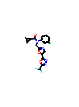 O=C(C1CC1)N(Cc1ncc(-c2nnc(C(F)F)o2)o1)c1cccc(Cl)c1